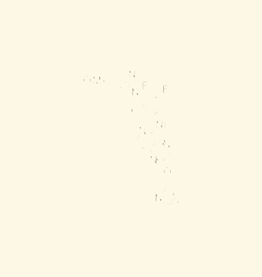 COC[C@@]1(C)SC(N)=N[C@](C)(c2cc(Nc3nccc4nc(OCc5cocn5)cnc34)cc(F)c2F)[C@@H]1C